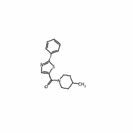 CC1CCN(C(=O)c2cnc(-c3ccccc3)s2)CC1